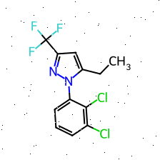 CCc1cc(C(F)(F)F)nn1-c1cccc(Cl)c1Cl